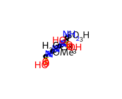 COc1cc(N=Nc2cccc(SOOO)c2)ccc1N=Nc1cc(C)c(N=Nc2c(SOOO)cc3cc(S(=O)(=O)O)c(N)cc3c2O)cc1C